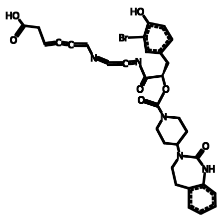 O=C(O)CC=C=C=CN=C=C=NC(=O)[C@@H](Cc1ccc(O)c(Br)c1)OC(=O)N1CCC(N2CCc3ccccc3NC2=O)CC1